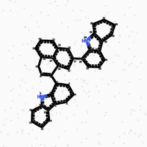 C1=C(c2cccc3c2[nH]c2ccccc23)c2cc(-c3cccc4c3[nH]c3ccccc34)cc3cccc(c23)C1